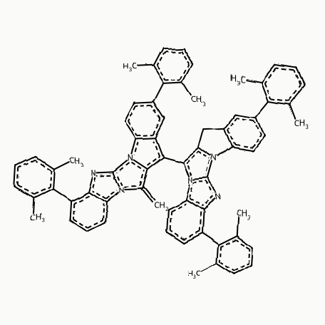 C=c1c2c(-c3c4n(c5nc6c(-c7c(C)cccc7C)cccc6n35)-c3ccc(-c5c(C)cccc5C)cc3C4)c3cc(-c4c(C)cccc4C)ccc3n2c2nc3c(-c4c(C)cccc4C)cccc3n12